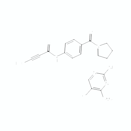 CC#CC(=O)Nc1ccc(C(=O)N2CC[C@H](Nc3ncc(Cl)c(OC)n3)C2)cc1